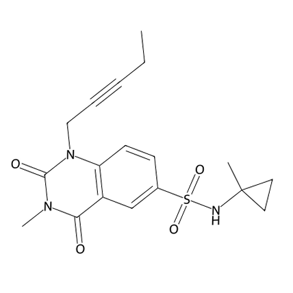 CCC#CCn1c(=O)n(C)c(=O)c2cc(S(=O)(=O)NC3(C)CC3)ccc21